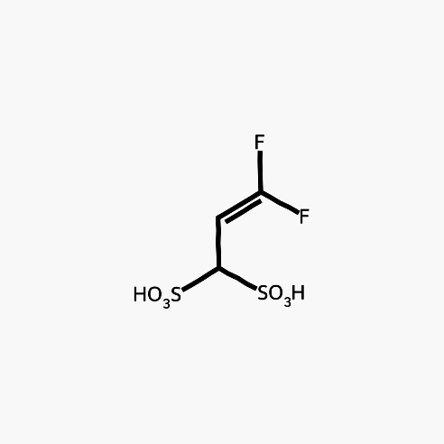 O=S(=O)(O)C(C=C(F)F)S(=O)(=O)O